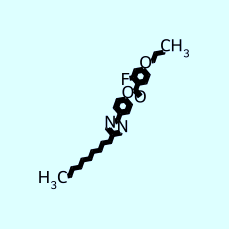 CCCCCCCCCCc1cnc(-c2ccc(OC(=O)c3ccc(OCCCC)cc3F)cc2)nc1